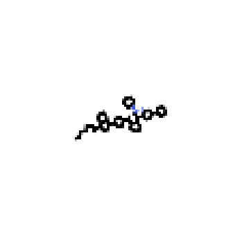 C=C(/C=C\CCCC)C1=CCC(C2=CCC(/C(C)=C3\C=CCCC3C(CNC3CCCCC3)C3CCC(C4=CCCCC4)CC3)CC2)C2CCC=CC12